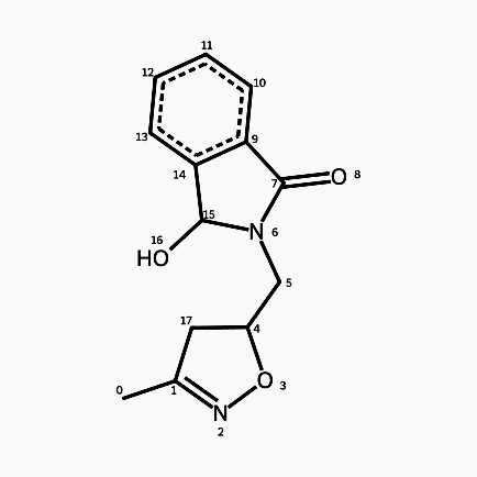 CC1=NOC(CN2C(=O)c3ccccc3C2O)C1